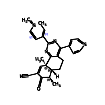 C=N/C=C\C(=C/C)c1nc(-c2ccncc2)c2c(n1)[C@]1(C)C=C(C#N)C(=O)[C@H](C)[C@H]1CC2